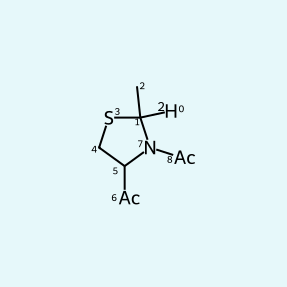 [2H]C1(C)SCC(C(C)=O)N1C(C)=O